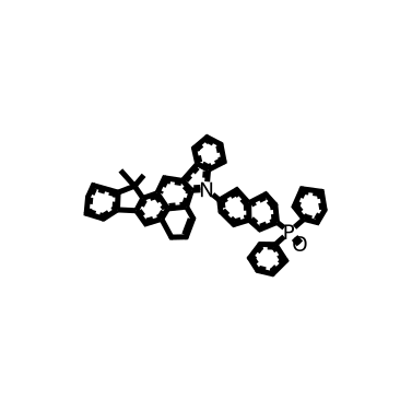 CC1(C)c2ccccc2-c2cc3c4c(c5c(cc4c21)c1ccccc1n5-c1ccc2cc(P(=O)(c4ccccc4)c4ccccc4)ccc2c1)C=CC3